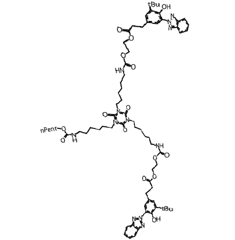 CCCCCOC(=O)NCCCCCCn1c(=O)n(CCCCCCNC(=O)OCCOC(=O)CCc2cc(-n3nc4ccccc4n3)c(O)c(C(C)(C)C)c2)c(=O)n(CCCCCCNC(=O)OCCOC(=O)CCc2cc(-n3nc4ccccc4n3)c(O)c(C(C)(C)C)c2)c1=O